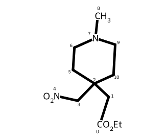 CCOC(=O)CC1(C[N+](=O)[O-])CCN(C)CC1